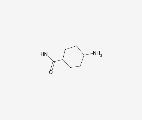 [NH]C(=O)C1CCC(N)CC1